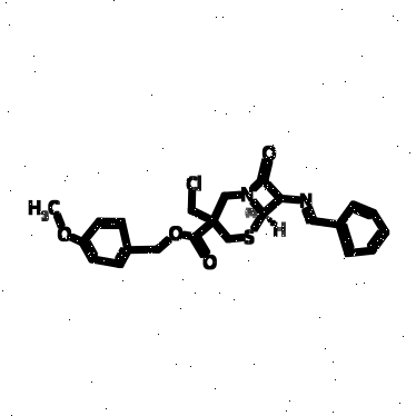 COc1ccc(COC(=O)C2(CCl)CS[C@@H]3C(N=Cc4ccccc4)C(=O)N3C2)cc1